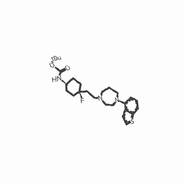 CC(C)(C)OC(=O)N[C@H]1CC[C@](F)(CCN2CCCN(c3cccc4sccc34)CC2)CC1